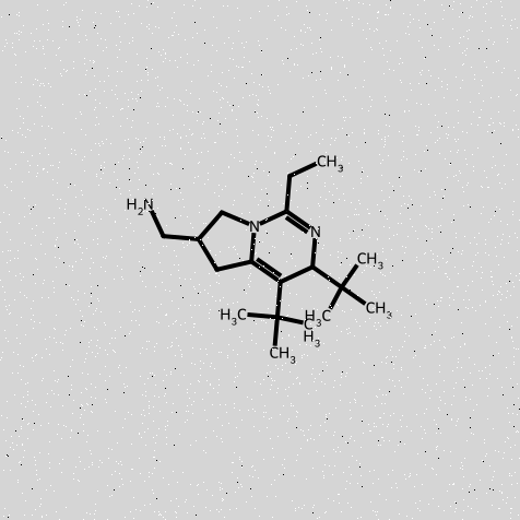 CCC1=NC(C(C)(C)C)C(C(C)(C)C)=C2CC(CN)CN12